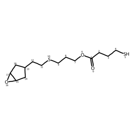 O=C(CCCS)OCCCSCCC1CC2OC2C1